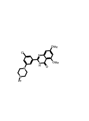 COc1cc(OC)c2c(=O)[nH]c(-c3cc(Cl)cc(N4CCN(C(C)C)CC4)c3)nc2c1